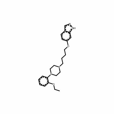 CCOc1ccccc1N1CCN(CCCCOc2ccc3cn[nH]c3c2)CC1